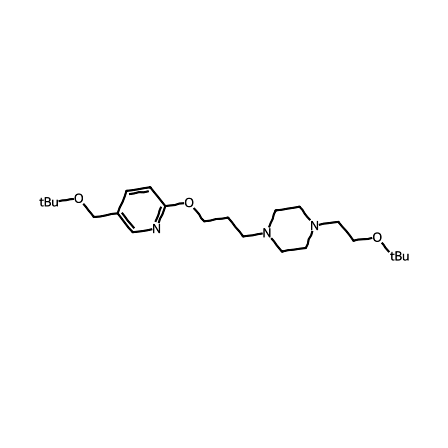 CC(C)(C)OCCN1CCN(CCCOc2ccc(COC(C)(C)C)cn2)CC1